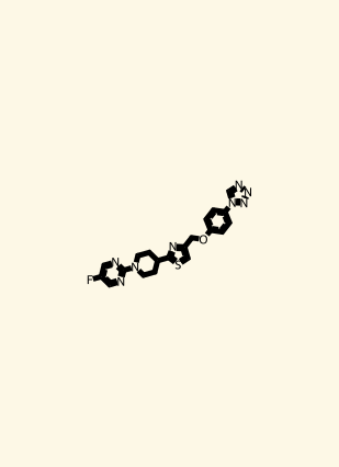 Fc1cnc(N2CCC(c3nc(COc4ccc(-n5cnnn5)cc4)cs3)CC2)nc1